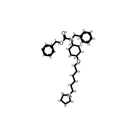 O=C(OCc1ccccc1)N(Cc1ccccc1)C1CCC(OCCCCCCN2CCCC2)CC1